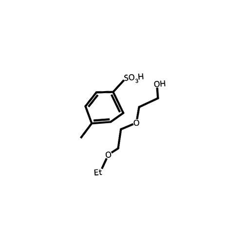 CCOCCOCCO.Cc1ccc(S(=O)(=O)O)cc1